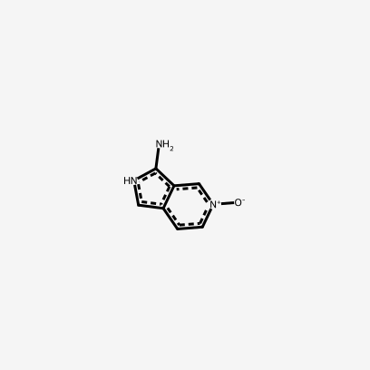 Nc1[nH]cc2cc[n+]([O-])cc12